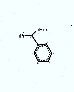 CCCCCCC(c1[c]cccc1)C(C)C